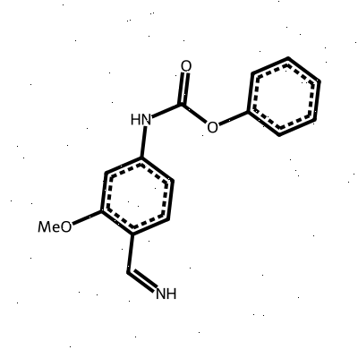 COc1cc(NC(=O)Oc2ccccc2)ccc1C=N